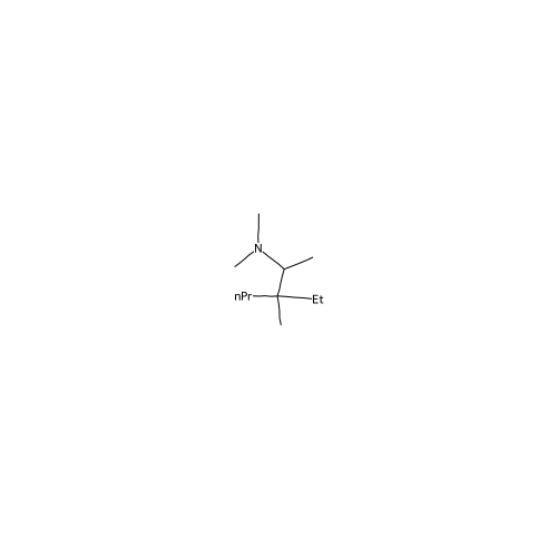 CCCC(C)(CC)C(C)N(C)C